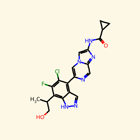 CC(CO)c1c(F)c(Cl)c(-c2cn3cc(NC(=O)C4CC4)nc3cn2)c2cn[nH]c12